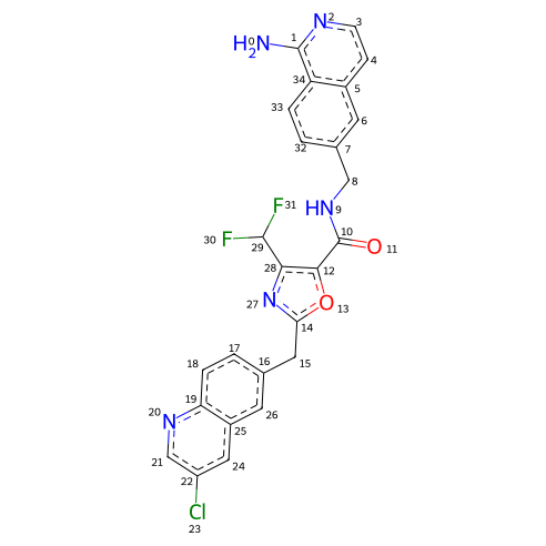 Nc1nccc2cc(CNC(=O)c3oc(Cc4ccc5ncc(Cl)cc5c4)nc3C(F)F)ccc12